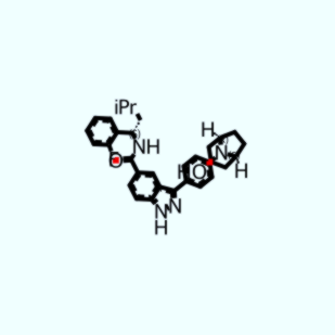 CC(C)C[C@H](NC(=O)c1ccc2[nH]nc(-c3ccc(N4[C@@H]5CC[C@H]4CC(O)C5)cc3)c2c1)c1ccccc1F